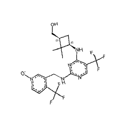 CC1(C)[C@@H](CO)C[C@H]1Nc1nc(NCc2c[n+]([O-])ccc2C(F)(F)F)ncc1C(F)(F)F